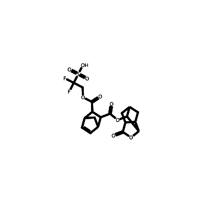 O=C1OC2C3CC(CC13)C2OC(=O)C1C2C=CC(C2)C1C(=O)OCC(F)(F)S(=O)(=O)O